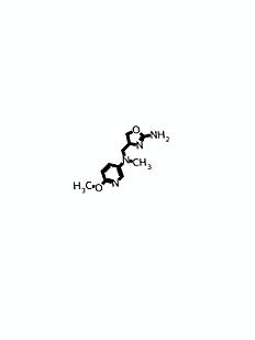 COc1ccc(N(C)CC2COC(N)=N2)cn1